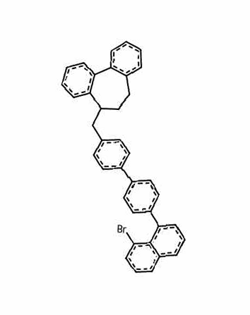 Brc1cccc2cccc(-c3ccc(-c4ccc(CC5CCc6ccccc6-c6ccccc65)cc4)cc3)c12